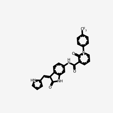 O=C1Nc2cc(NC(=O)c3cccn(-c4ccc(C(F)(F)F)cc4)c3=O)ccc2/C1=C/c1ccc[nH]1